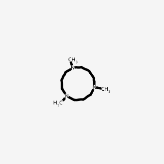 CN1CCCN(C)CCCN(C)CCC1